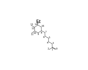 C=C(C)CCCCCC1CC(C)C(C)C(CC)C1